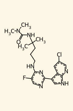 CN(C)C(=O)NC(C)(C)CCCNc1nc(-c2c[nH]c3ncc(Cl)cc23)ncc1F